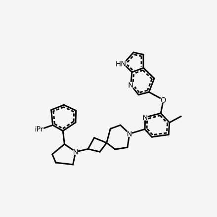 Cc1ccc(N2CCC3(CC2)CC(N2CCCC2c2ccccc2C(C)C)C3)nc1Oc1cnc2[nH]ccc2c1